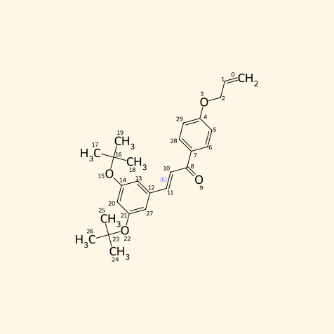 C=CCOc1ccc(C(=O)/C=C/c2cc(OC(C)(C)C)cc(OC(C)(C)C)c2)cc1